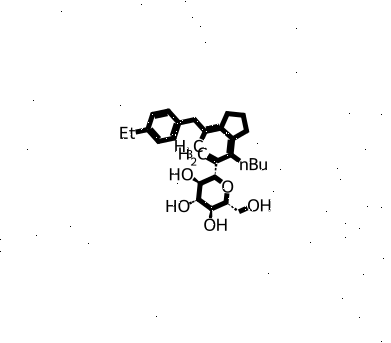 C=C(/C(CCCC)=C1/CCC/C1=C(/C)Cc1ccc(CC)cc1)[C@@H]1O[C@H](CO)[C@@H](O)[C@H](O)[C@H]1O